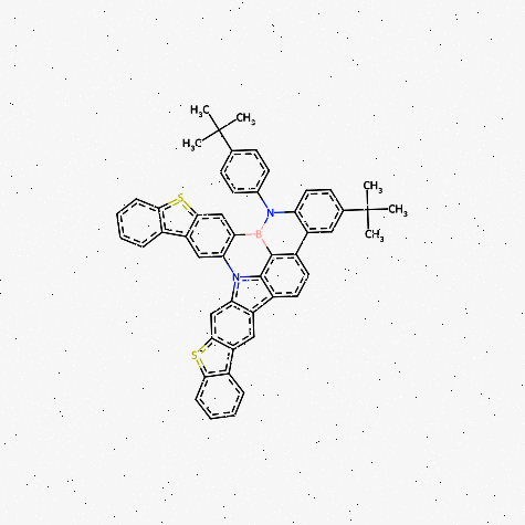 CC(C)(C)c1ccc(N2B3c4cc5sc6ccccc6c5cc4-n4c5cc6sc7ccccc7c6cc5c5ccc(c3c54)-c3cc(C(C)(C)C)ccc32)cc1